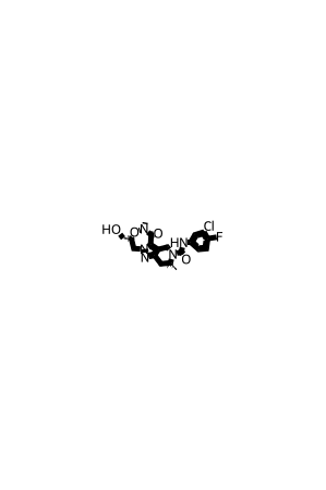 C[C@@H]1Cc2nn3c(c2CN1C(=O)Nc1ccc(F)c(Cl)c1)C(=O)N(C)O[C@@H](CO)C3